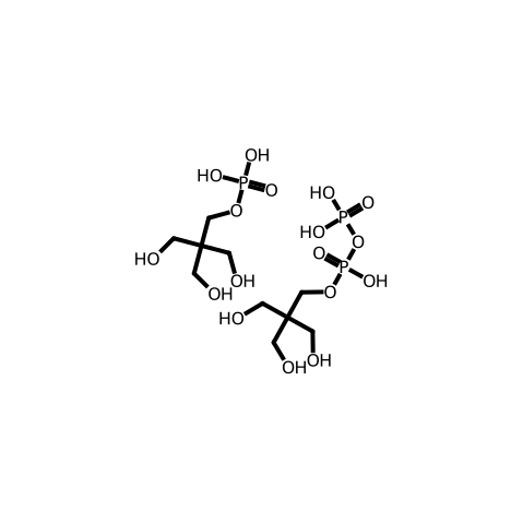 O=P(O)(O)OCC(CO)(CO)CO.O=P(O)(O)OP(=O)(O)OCC(CO)(CO)CO